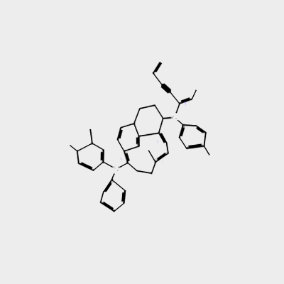 C=CC#C/C(=C\C)N(c1ccc(C)cc1)C1CCC2C=C/C3=C(\N(C4=CC(C)C(C)C=C4)c4ccccc4)CC/C(C)=C/C=C/1C2=C3